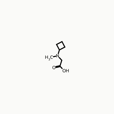 CN(CC(=O)O)C1CCC1